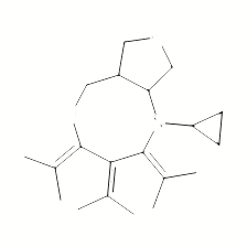 CC(C)=C1OCC2COCC2N(C2CC2)C(=C(C)C)C1=C(C)C